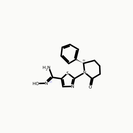 N/C(=N\O)c1cnc(N2C(=O)CCC[C@H]2c2ccccc2)s1